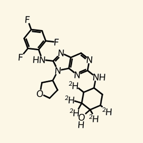 [2H]C1C(Nc2ncc3nc(Nc4c(F)cc(F)cc4F)n(C4CCOC4)c3n2)CC([2H])C([2H])(O)C1([2H])[2H]